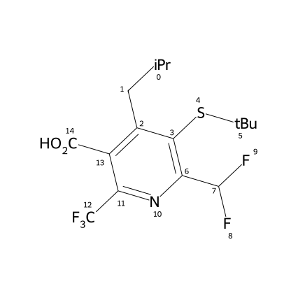 CC(C)Cc1c(SC(C)(C)C)c(C(F)F)nc(C(F)(F)F)c1C(=O)O